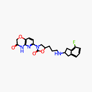 O=C1COc2ccc(N3CC(CCCNC4Cc5cccc(F)c5C4)OC3=O)nc2N1